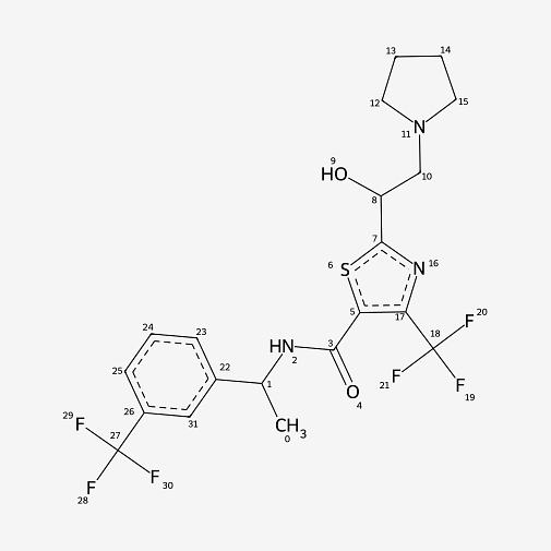 CC(NC(=O)c1sc(C(O)CN2CCCC2)nc1C(F)(F)F)c1cccc(C(F)(F)F)c1